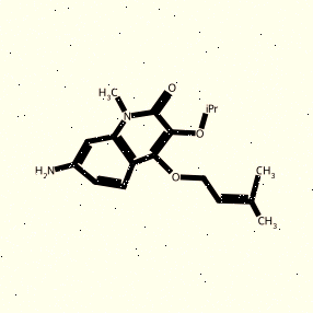 CC(C)=CCOc1c(OC(C)C)c(=O)n(C)c2cc(N)ccc12